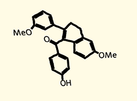 COc1cccc(C2=C(C(=O)c3ccc(O)cc3)c3ccc(OC)cc3CC2)c1